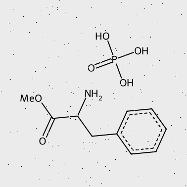 COC(=O)C(N)Cc1ccccc1.O=P(O)(O)O